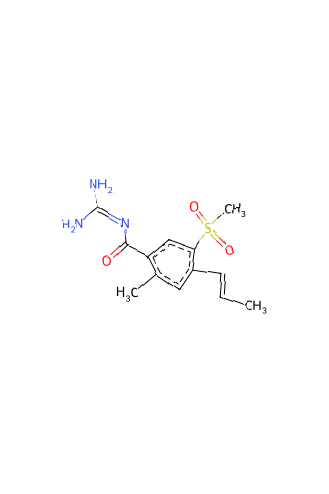 CC=Cc1cc(C)c(C(=O)N=C(N)N)cc1S(C)(=O)=O